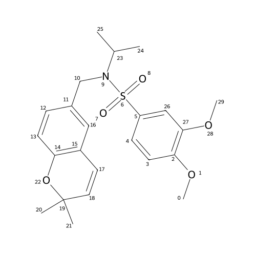 COc1ccc(S(=O)(=O)N(Cc2ccc3c(c2)C=CC(C)(C)O3)C(C)C)cc1OC